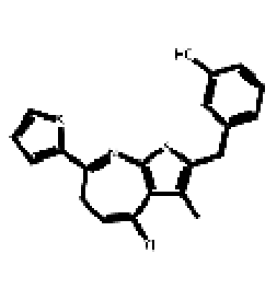 Cc1c(Cc2cccc(O)c2)sc2c1C(Cl)=CCC(c1cccs1)=N2